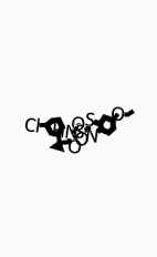 CCOc1ccc2nc(S(=O)(=O)NC(=O)C3(c4cccc(Cl)c4)CC3)sc2c1